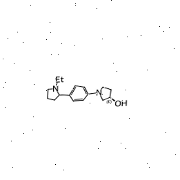 CCN1CCCC1c1ccc(N2CC[C@@H](O)C2)cc1